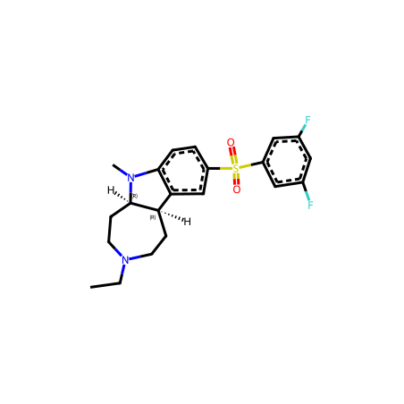 CCN1CC[C@@H]2c3cc(S(=O)(=O)c4cc(F)cc(F)c4)ccc3N(C)[C@@H]2CC1